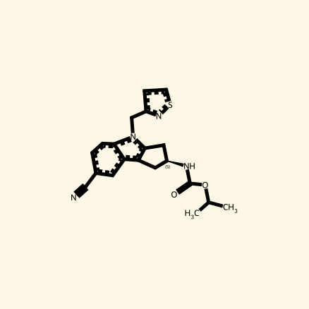 CC(C)OC(=O)N[C@H]1Cc2c(n(Cc3ccsn3)c3ccc(C#N)cc23)C1